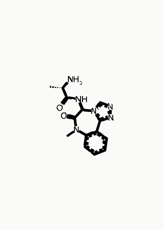 C[C@H](N)C(=O)NC1C(=O)N(C)c2ccccc2-c2nncn21